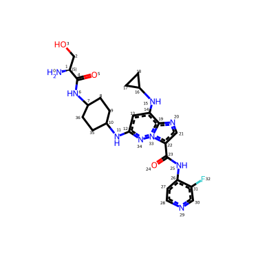 N[C@@H](CO)C(=O)NC1CCC(Nc2cc(NC3CC3)c3ncc(C(=O)Nc4ccncc4F)n3n2)CC1